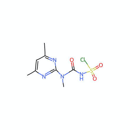 Cc1cc(C)nc(N(C)C(=O)NS(=O)(=O)Cl)n1